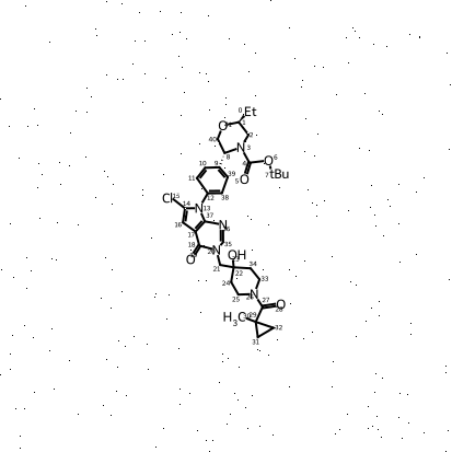 CC[C@H]1CN(C(=O)OC(C)(C)C)[C@H](c2ccc(-n3c(Cl)cc4c(=O)n(CC5(O)CCN(C(=O)C6(C)CC6)CC5)cnc43)cc2)CO1